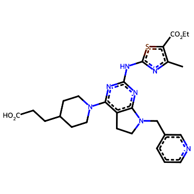 CCOC(=O)c1sc(Nc2nc(N3CCC(CCC(=O)O)CC3)c3c(n2)N(Cc2cccnc2)CC3)nc1C